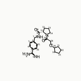 N=C(N)c1ccc(CNC(=O)[C@@H]2CCCN2C(=O)COC2CCCC2)cc1